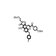 COCCNC(=O)c1c(O)c2ncc(Cc3ccc(F)cc3)c3c2n(c1=O)C=C(C(=O)N1CCC(OC)CC1)O3